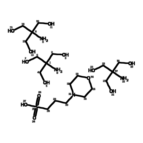 NC(CO)(CO)CO.NC(CO)(CO)CO.NC(CO)(CO)CO.O=S(=O)(O)CCCN1CCOCC1